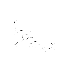 CC(C)=CCCC1(C)C=Cc2c(O)c3c(c(CC=C(C)C)c2O1)OC1(C(C)C)CCC(C(=O)C(C)(O)C/C=C(/C)C(=O)O)C=C1C3=O